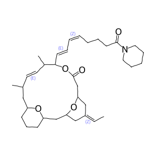 C/C=C1\CC2CC(=O)OC(/C=C/C=C\CCCC(=O)N3CCCCC3)C(C)/C=C/C(C)CC3CCCC(CC(C1)O2)O3